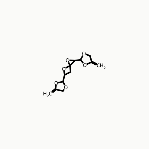 C=C1COC(C2CC3(O2)OC3C2OCC(=C)O2)O1